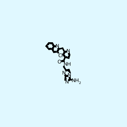 Nc1ncc2nc(CNC(=O)c3ccnc(Cc4nc5ccccc5cc4Cl)c3)ccn12